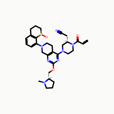 C=CC(=O)N1CCN(c2nc(OC[C@@H]3CCCN3C)nc3c2CCN(c2cccc4c2[S+]([O-])CCC4)C3)C[C@@H]1CC#N